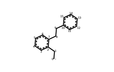 [CH2]Cc1ccccc1CCc1ccccc1